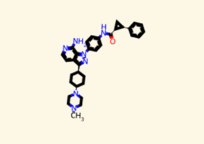 CN1CCN([C@H]2CC[C@H](c3nn(-c4ccc(NC(=O)[C@@H]5C[C@@H]5c5ccccc5)cc4)c4c(N)nccc43)CC2)CC1